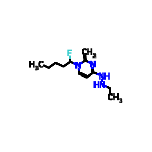 C=C1N=C(NNCC)C=CN1C(F)CCCC